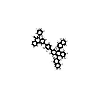 C=C1c2ccccc2-c2cc(-c3ccc(-c4ccc5c(-c6ccc7ccccc7c6)c6ccccc6c(-c6ccc7ccccc7c6)c5c4)cc3)ccc2N1c1ccccc1